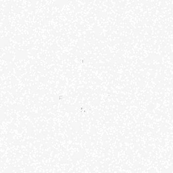 Nc1c(F)cc(Br)cc1C(F)(F)F